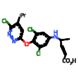 CC(/C=C/C(=O)O)Nc1cc(Cl)c(Oc2cc(C(C)C)c(Cl)nn2)c(Cl)c1